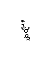 Cc1cn2cc(-c3cc(F)c4nc(C5CCNCC5)nnc4c3)cc(C)c2n1